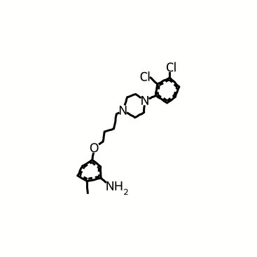 Cc1ccc(OCCCCN2CCN(c3cccc(Cl)c3Cl)CC2)cc1N